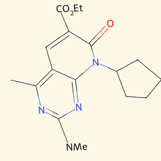 CCOC(=O)c1cc2c(C)nc(NC)nc2n(C2CCCC2)c1=O